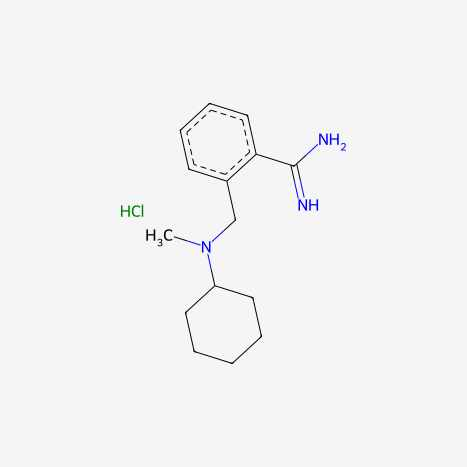 CN(Cc1ccccc1C(=N)N)C1CCCCC1.Cl